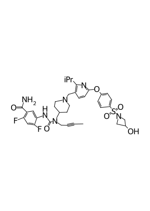 CC#CCN(C(=O)Nc1cc(C(N)=O)c(F)cc1F)C1CCN(Cc2ccc(Oc3ccc(S(=O)(=O)N4CC(O)C4)cc3)nc2C(C)C)CC1